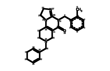 Cc1ccccc1CN1C(=O)C2=C(CCN(CC3=CCCC=C3)C2)N2CCN=C12